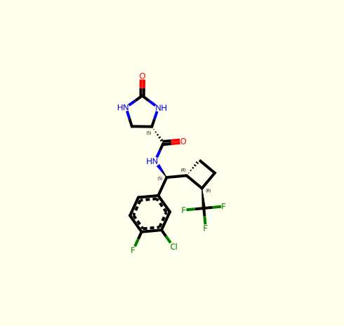 O=C1NC[C@@H](C(=O)N[C@H](c2ccc(F)c(Cl)c2)[C@@H]2CC[C@H]2C(F)(F)F)N1